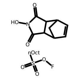 CCCCCCCCS(=O)(=O)OF.O=C1C2C3C=CC(C3)C2C(=O)N1O